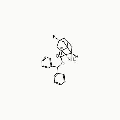 N[C@]1(C(=O)OC(c2ccccc2)c2ccccc2)[C@H]2CC3C[C@H]1C[C@@](F)(C3)C2